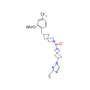 COc1cc(C(F)(F)F)ccc1CC1CC2(C1)CN(C(=O)N1CC3(CC(n4cnc(C5CC5)n4)C3)C1)C2